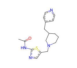 CC(=O)Nc1ncc(CN2CCCC(Cc3ccncc3)C2)s1